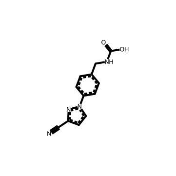 N#Cc1ccn(-c2ccc(CNC(=O)O)cc2)n1